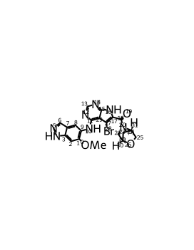 COc1cc2[nH]ncc2cc1Nc1ncnc2[nH]c(C(=O)N3C[C@@H]4C[C@H]3CO4)c(Br)c12